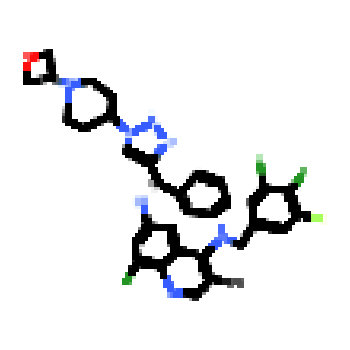 N#Cc1cnc2c(Cl)cc(N[C@H](C3=CN(C4CCN(C5COC5)CC4)NN3)c3ccccc3)cc2c1NCc1cc(F)c(Cl)c(Cl)c1